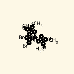 COc1ccc(C2(c3ccc(OC)cc3)c3ccccc3-c3c(-c4sc(-c5cccc6c5-c5ccccc5C6(c5ccc(OC)cc5)c5ccc(OC)cc5)c5nc6c7ccc(Br)cc7c7cc(Br)ccc7c6nc45)cccc32)cc1